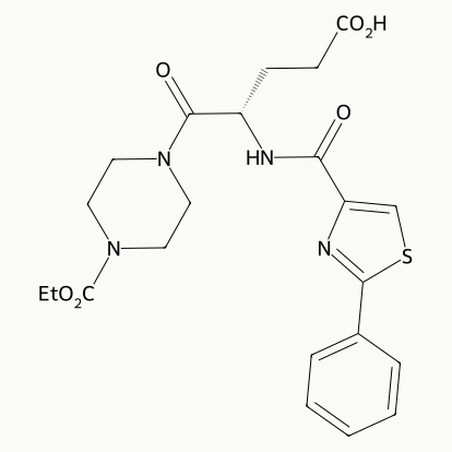 CCOC(=O)N1CCN(C(=O)[C@H](CCC(=O)O)NC(=O)c2csc(-c3ccccc3)n2)CC1